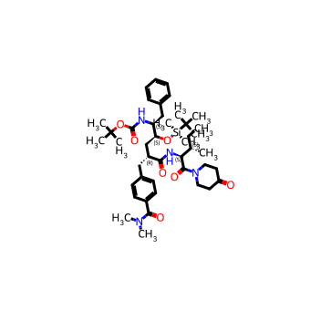 CC[C@H](C)[C@H](NC(=O)[C@H](Cc1ccc(C(=O)N(C)C)cc1)C[C@H](O[Si](C)(C)C(C)(C)C)[C@H](Cc1ccccc1)NC(=O)OC(C)(C)C)C(=O)N1CCC(=O)CC1